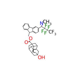 C/N=C(/c1ccc2c(c1)-c1ccccc1C2COC(=O)C12CC3C4CC5(O)CC3C(C1)C(C5)C4C2)C(F)(F)C(F)(F)C(F)(F)F